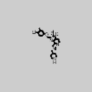 Cc1cc(OCc2nc3c(CNCC4CCNCC4)nccc3c(=O)[nH]2)ccc1Cl